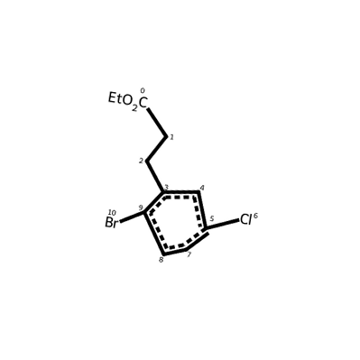 CCOC(=O)CCc1cc(Cl)ccc1Br